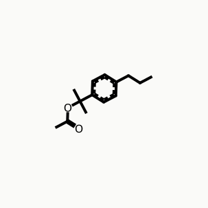 CCCc1ccc(C(C)(C)OC(C)=O)cc1